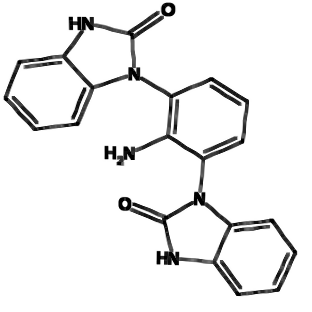 Nc1c(-n2c(=O)[nH]c3ccccc32)cccc1-n1c(=O)[nH]c2ccccc21